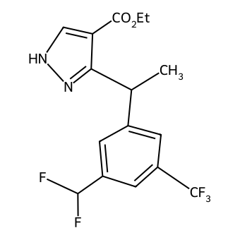 CCOC(=O)c1c[nH]nc1C(C)c1cc(C(F)F)cc(C(F)(F)F)c1